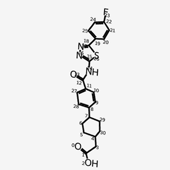 O=C(O)CC1CCC(c2ccc(C(=O)Nc3nnc(-c4ccc(F)cc4)s3)cc2)CC1